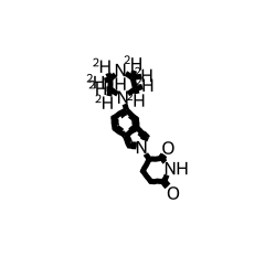 [2H]C1([2H])NC([2H])([2H])C([2H])([2H])N(c2ccc3cn(C4CCC(=O)NC4=O)cc3c2)C1([2H])[2H]